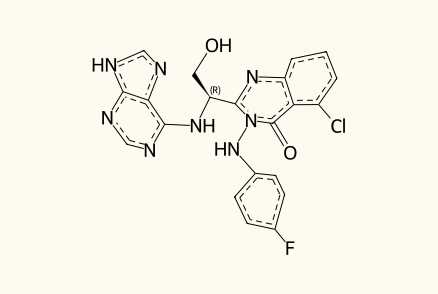 O=c1c2c(Cl)cccc2nc([C@H](CO)Nc2ncnc3[nH]cnc23)n1Nc1ccc(F)cc1